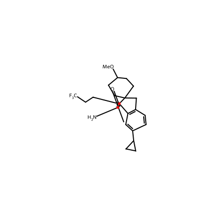 COC1CCC2(CC1)Cc1ccc(C3CC3)cc1C21N=C(N)N(CCC(F)(F)F)C1=O